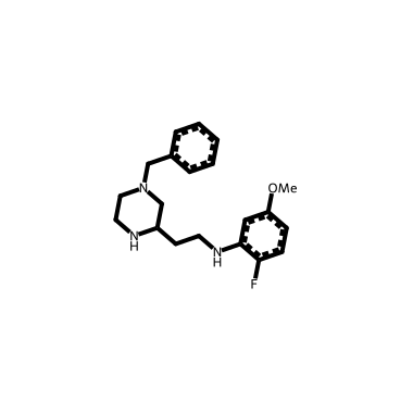 COc1ccc(F)c(NCCC2CN(Cc3ccccc3)CCN2)c1